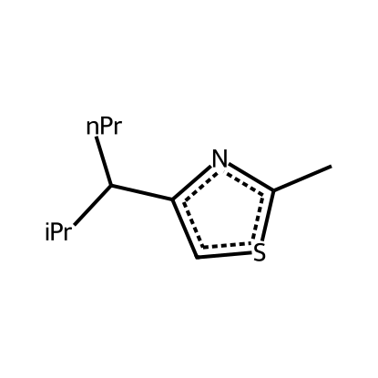 CCCC(c1csc(C)n1)C(C)C